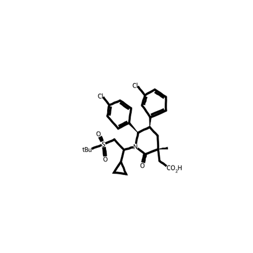 CC(C)(C)S(=O)(=O)CC(C1CC1)N1C(=O)[C@@](C)(CC(=O)O)C[C@H](c2cccc(Cl)c2)[C@@H]1c1ccc(Cl)cc1